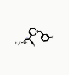 CN/C=C(\C#N)C1=CCCN(Cc2cccc(F)c2)C1